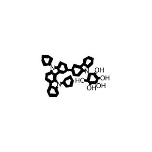 Oc1c(O)c(O)c(-n2c3ccccc3c3cc(-c4ccc5c(c4)c4c(ccc6c7ccccc7n(-c7ccccc7)c64)n5-c4ccccc4)ccc32)c(O)c1O